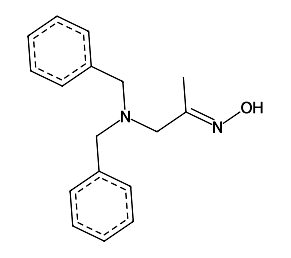 CC(CN(Cc1ccccc1)Cc1ccccc1)=NO